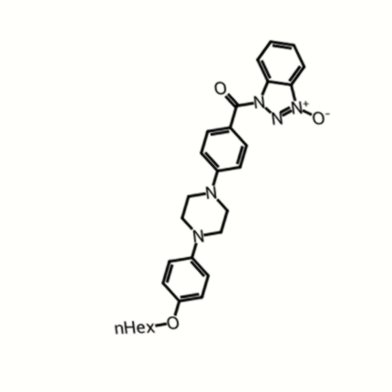 CCCCCCOc1ccc(N2CCN(c3ccc(C(=O)n4n[n+]([O-])c5ccccc54)cc3)CC2)cc1